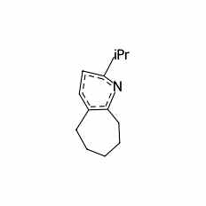 CC(C)c1ccc2c(n1)CCCCC2